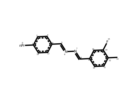 CCCc1ccc(/C=N/N=C/c2ccc(C)c(F)c2)cc1